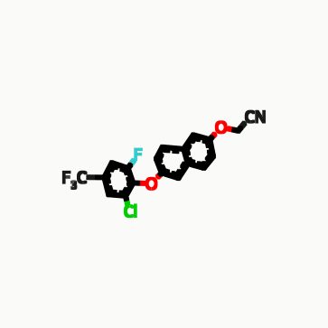 N#CCOc1ccc2cc(Oc3c(F)cc(C(F)(F)F)cc3Cl)ccc2c1